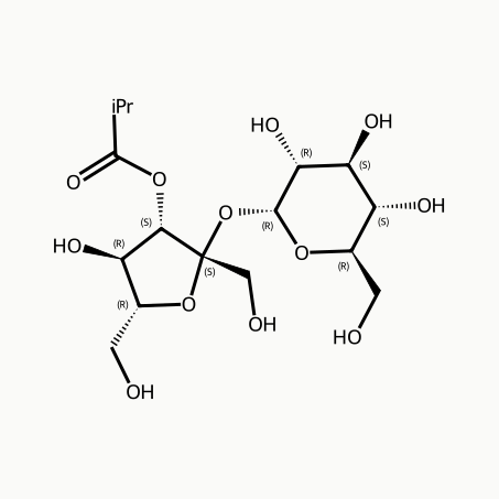 CC(C)C(=O)O[C@H]1[C@H](O)[C@@H](CO)O[C@@]1(CO)O[C@H]1O[C@H](CO)[C@@H](O)[C@H](O)[C@H]1O